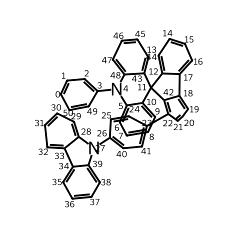 c1ccc(N2c3ccccc3C3(c4ccccc4-c4cccc(-c5ccc(-n6c7ccccc7c7ccccc76)cc5)c43)c3ccccc32)cc1